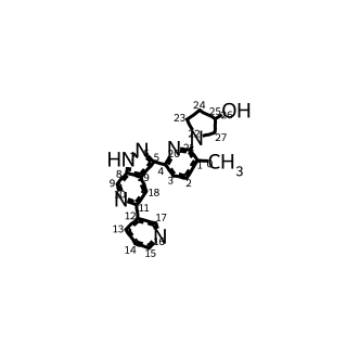 Cc1ccc(-c2n[nH]c3cnc(-c4cccnc4)cc23)nc1N1CCC(O)C1